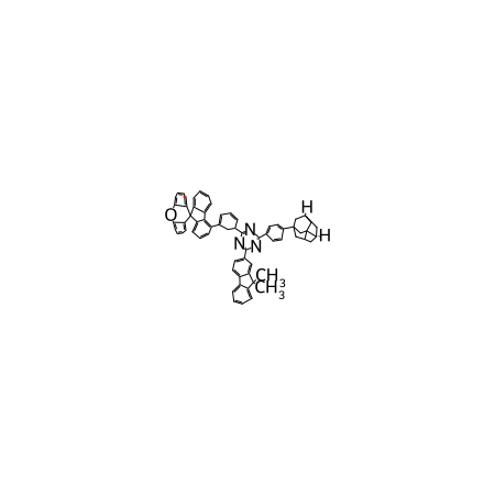 CC1(C)c2ccccc2-c2ccc(-c3nc(-c4ccc(C56CC7C[C@@H]8C[C@@H](C5)CC78C6)cc4)nc(C4C=CC=C(c5cccc6c5-c5ccccc5C65c6ccccc6Oc6ccccc65)C4)n3)cc21